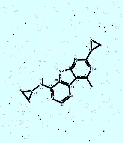 Cc1nc(C2CC2)nc2sc3c(NC4CC4)nccc3c12